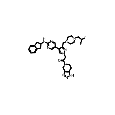 O=C(Cn1cc(-c2cnc(NC3Cc4ccccc4C3)nc2)c(CN2CCN(CC(F)F)CC2)n1)N1CCc2[nH]nnc2C1